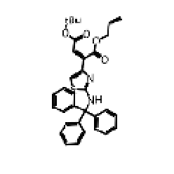 C=CCOC(=O)/C(=C\C(=O)OC(C)(C)C)c1csc(NC(c2ccccc2)(c2ccccc2)c2ccccc2)n1